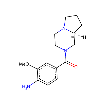 COc1cc(C(=O)N2CCN3CCC[C@H]3C2)ccc1N